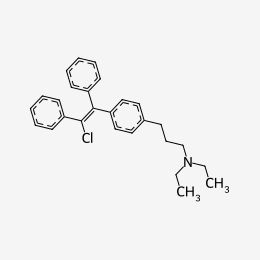 CCN(CC)CCCc1ccc(C(=C(Cl)c2ccccc2)c2ccccc2)cc1